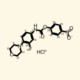 Cl.O=C(Nc1ccc(N2CCOCC2)c(F)c1)Oc1ccc([N+](=O)[O-])cc1